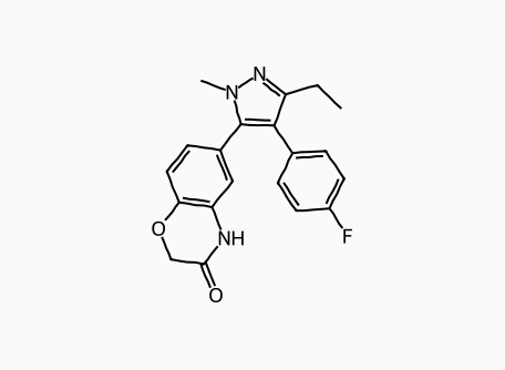 CCc1nn(C)c(-c2ccc3c(c2)NC(=O)CO3)c1-c1ccc(F)cc1